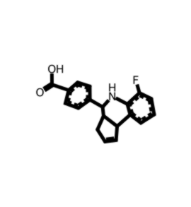 O=C(O)c1ccc(C2Nc3c(F)cccc3C3C=CCC32)cc1